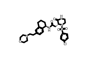 O=C(C[C@@H]1C(=O)NCCN1S(=O)(=O)c1ccc(Cl)cc1)N[C@@H]1CCCc2cc(CCN3CCOCC3)ccc21